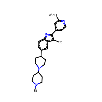 CCc1c(-c2ccnc(OC)c2)[nH]c2ccc(C3CCN(C4CCN(CC)CC4)CC3)cc12